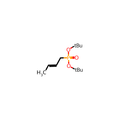 C/C=C/CP(=O)(OC(C)(C)C)OC(C)(C)C